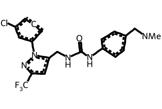 CNCc1ccc(NC(=O)NCc2cc(C(F)(F)F)nn2-c2cccc(Cl)c2)cc1